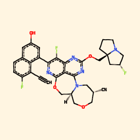 C#Cc1c(F)ccc2cc(O)cc(-c3nc4c5c(nc(OC[C@@]67CCCN6C[C@H](F)C7)nc5c3F)N3C[C@H](C#N)COC[C@H]3CO4)c12